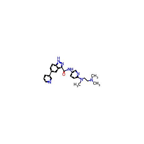 CN(C)CCN(C)c1ccc(NC(=O)c2n[nH]c3ccc(-c4cccnc4)cc23)cn1